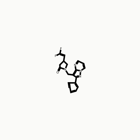 O=C1CC(C=C(F)F)CN1Cc1c(-c2ccccc2)nn2cccnc12